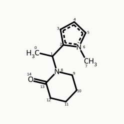 CC(c1cccn1C)N1CCCCC1=O